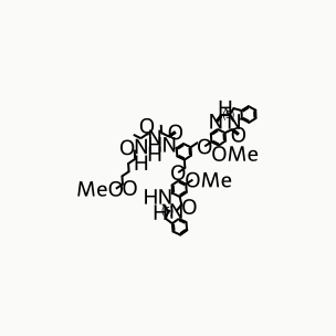 COC(=O)CCCCC(=O)NC(C)C(=O)NC(C)C(=O)Nc1cc(COc2cc3c(cc2OC)C(=O)N2c4ccccc4C[C@H]2C=N3)cc(COc2cc3c(cc2OC)C(=O)N2c4ccccc4C[C@H]2CN3)c1